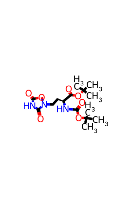 CC(C)(C)OC(=O)N[C@@H](CCn1oc(=O)[nH]c1=O)C(=O)OC(C)(C)C